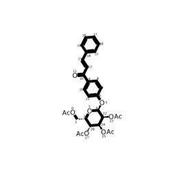 CC(=O)OC[C@@H]1O[C@@H](Oc2ccc(C(=O)/C=C/c3ccccc3)cc2)[C@@H](OC(C)=O)[C@@H](OC(C)=O)[C@@H]1OC(C)=O